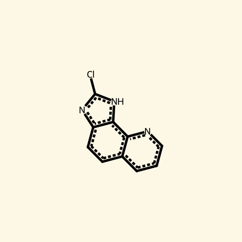 Clc1nc2ccc3cccnc3c2[nH]1